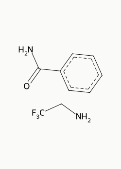 NC(=O)c1ccccc1.NCC(F)(F)F